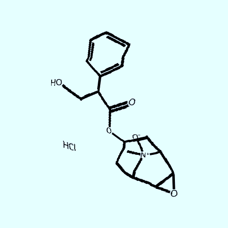 C[N+]1([O-])C2CC(OC(=O)C(CO)c3ccccc3)CC1C1OC12.Cl